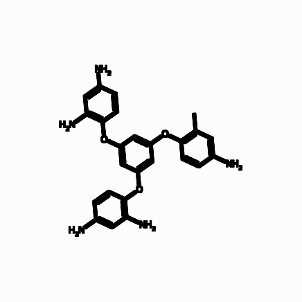 Cc1cc(N)ccc1Oc1cc(Oc2ccc(N)cc2N)cc(Oc2ccc(N)cc2N)c1